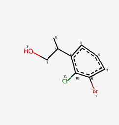 C[C](CO)c1cccc(Br)c1Cl